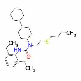 CCCCSCCN(C(=O)Nc1c(CC)cccc1CC)C1CCC(C2CCCCC2)CC1